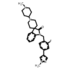 CN1CCC(N2CCC3(CC2)C(=O)N(Cc2ccc(-c4cnn(C)c4)cc2F)c2ccccc23)CC1